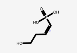 O=P(O)(O)/C=C\CCO